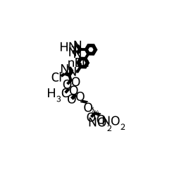 CCCCc1nc(Cl)c(C(=O)OC(C)OC(=O)OCCOC[C@H](CO[N+](=O)[O-])O[N+](=O)[O-])n1Cc1ccc(-c2ccccc2-c2nn[nH]n2)cc1